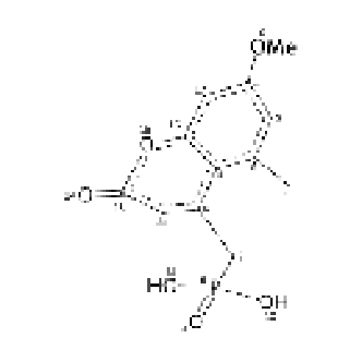 COc1cc(C)c2c(CP(=O)(O)O)cc(=O)oc2c1